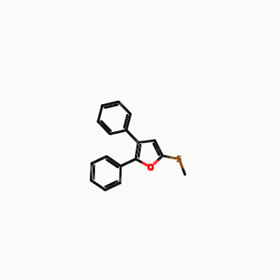 CSc1cc(-c2ccccc2)c(-c2ccccc2)o1